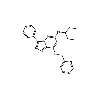 CCC(CC)Nc1cc(NCc2ccccn2)c2nnc(-c3ccccc3)n2n1